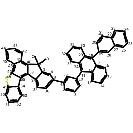 CC1(C)c2cc(-c3cccc(-c4c5ccccc5c(-c5ccc6ccccc6c5)c5ccccc45)c3)ccc2-c2c1c1ccccc1c1sc3ccccc3c21